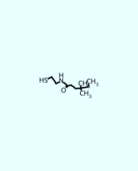 CCC(C)(C)CCC(=O)NCCS